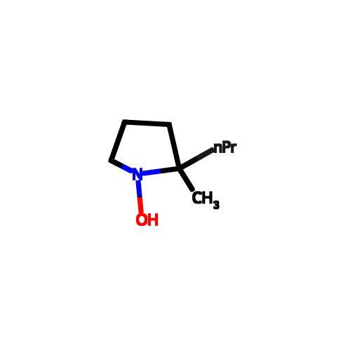 CCCC1(C)CCCN1O